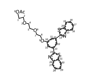 CC(=O)OCCOCCOCCOc1cc(-c2nc3ccccc3s2)cc(-c2nc3ccccc3s2)c1